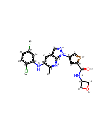 Cc1nc2c(cnn2-c2csc(C(=O)NC3COC3)c2)cc1Nc1cc(F)ccc1Cl